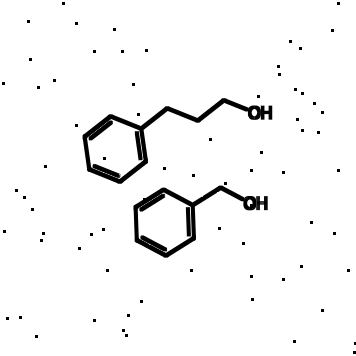 OCCCc1ccccc1.OCc1ccccc1